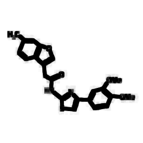 COc1ccc(-c2csc(NC(=O)Cc3coc4cc(C)ccc34)n2)cc1OC